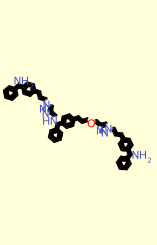 N[C@@H](c1ccccc1)c1ccc(CCCn2cc(CN[C@@H](c3ccccc3)c3ccc(CCCOCc4cn(CCCc5ccc([C@@H](N)c6ccccc6)cc5)nn4)cc3)nn2)cc1